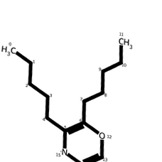 CCCCCC1=C(CCCCC)OC=C[N]1